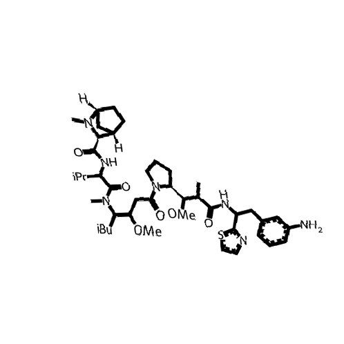 CCC(C)C(C(CC(=O)N1CCC[C@H]1C(OC)C(C)C(=O)NC(Cc1cccc(N)c1)c1nccs1)OC)N(C)C(=O)C(NC(=O)[C@@H]1[C@H]2CC[C@H](C2)N1C)C(C)C